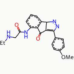 CCNCC(=O)Nc1cccc2c1C(=O)C1=C(c3ccc(OC)cc3)N=NC12